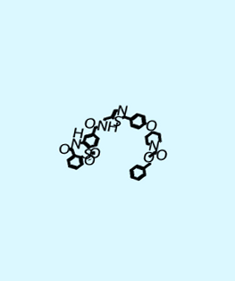 O=C(NCc1cnc(-c2ccc(OC3CCN(C(=O)OCc4ccccc4)CC3)cc2)s1)c1ccc2c(c1)NC(=O)c1ccccc1S2(=O)=O